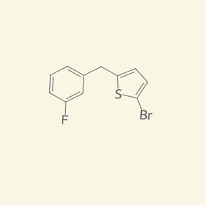 Fc1cccc(Cc2ccc(Br)s2)c1